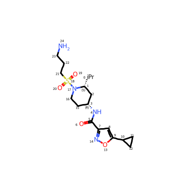 CC(C)[C@@H]1C[C@H](NC(=O)c2cc(C3CC3)on2)CCN1S(=O)(=O)CCCN